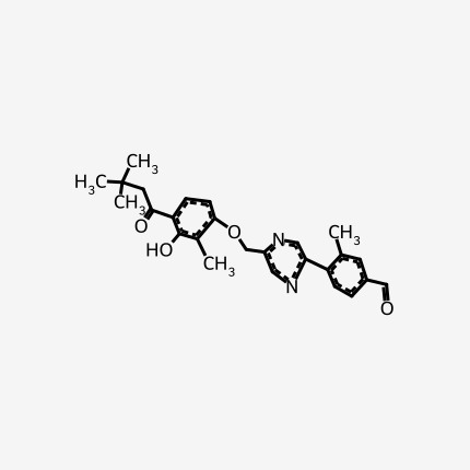 Cc1cc(C=O)ccc1-c1cnc(COc2ccc(C(=O)CC(C)(C)C)c(O)c2C)cn1